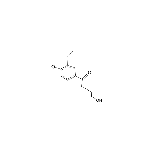 CCc1cc(C(=O)CCCO)ccc1[O]